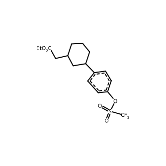 CCOC(=O)CC1CCCC(c2ccc(OS(=O)(=O)C(F)(F)F)cc2)C1